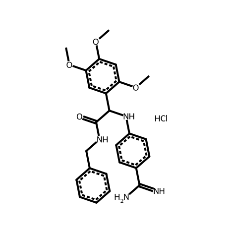 COc1cc(OC)c(C(Nc2ccc(C(=N)N)cc2)C(=O)NCc2ccccc2)cc1OC.Cl